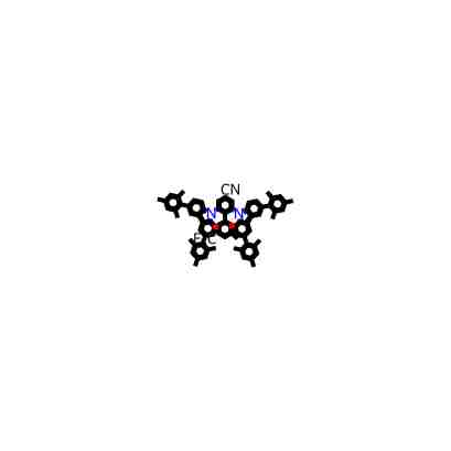 Cc1cc(-c2c(-n3c4ccc(-c5c(C)cc(C)cc5C)cc4c4cc(-c5c(C)cc(C)cc5C)ccc43)cc(C#N)cc2-n2c3ccc(-c4c(C)cc(C)cc4C)cc3c3cc(-c4c(C)cc(C)cc4C)ccc32)cc(C(F)(F)F)c1